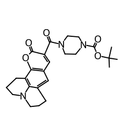 CC(C)(C)OC(=O)N1CCN(C(=O)c2cc3cc4c5c(c3oc2=O)CCCN5CCC4)CC1